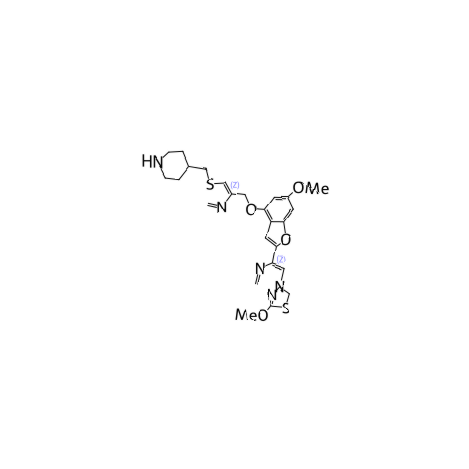 C=N/C(=C\SCC1CCNCC1)COc1cc(OC)cc2oc(/C(=C/N3CSC(OC)=N3)N=C)cc12